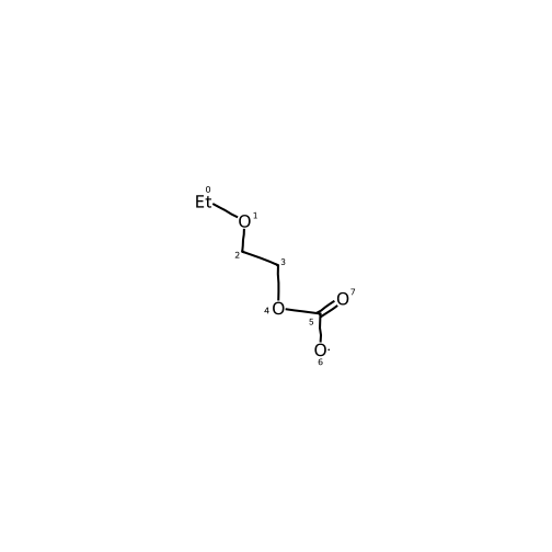 [CH2]COCCOC([O])=O